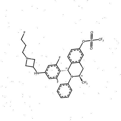 C[C@@H]1Cc2cc(OS(=O)(=O)C(F)(F)F)ccc2[C@@H](c2c(F)cc(NC3CN(CCCF)C3)cc2F)N1c1ccccc1